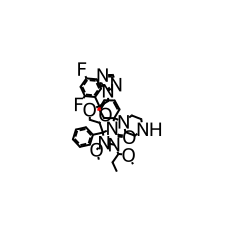 CCC(OC)N1C(=O)N(C2(N3CCNCC3)C=CC=CC2)C(c2ccccc2)(C2COC(Cn3cncn3)(c3ccc(F)cc3F)O2)N1OC